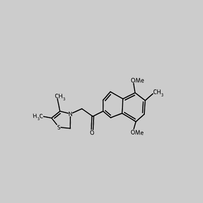 COc1cc(C)c(OC)c2ccc(C(=O)CN3CSC(C)=C3C)cc12